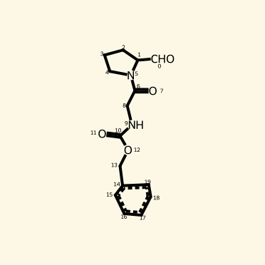 O=CC1CCCN1C(=O)CNC(=O)OCc1ccccc1